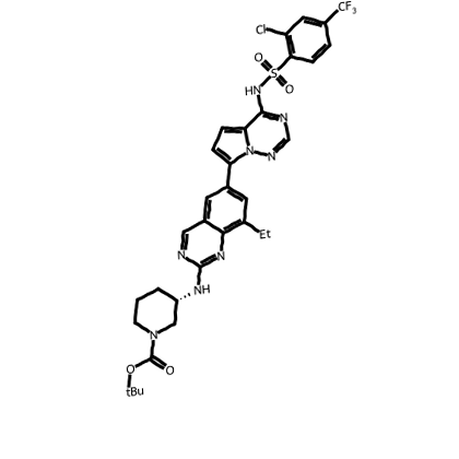 CCc1cc(-c2ccc3c(NS(=O)(=O)c4ccc(C(F)(F)F)cc4Cl)ncnn23)cc2cnc(N[C@H]3CCCN(C(=O)OC(C)(C)C)C3)nc12